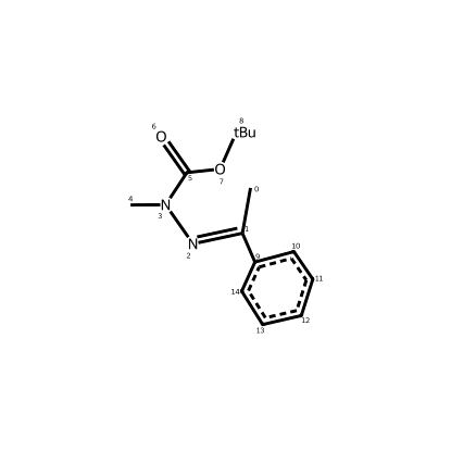 CC(=NN(C)C(=O)OC(C)(C)C)c1ccccc1